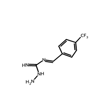 N=C(N=Cc1ccc(C(F)(F)F)cc1)NN